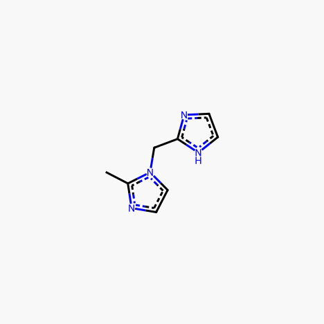 Cc1nccn1Cc1ncc[nH]1